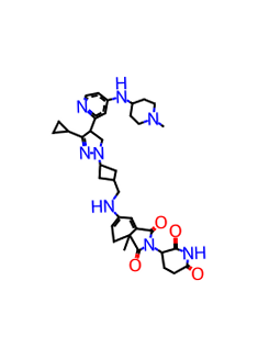 CN1CCC(Nc2ccnc(C3CN(C4CC(CNC5=CCC6(C)C(=O)N(C7CCC(=O)NC7=O)C(=O)C6=C5)C4)N=C3C3CC3)c2)CC1